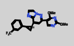 COc1ncc(-c2cc([C@H]3CC3c3cccc(C(F)(F)F)c3)c3nccn3n2)c(OC)n1